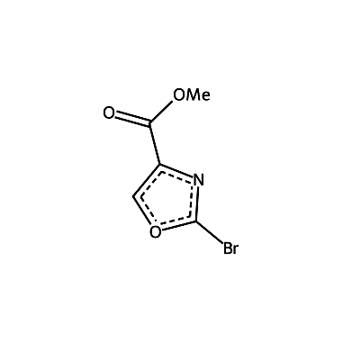 COC(=O)c1coc(Br)n1